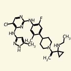 C=C(N1CCC(c2cc(F)c(Nc3ncc(Cl)c(Nc4cc(C)[nH]n4)n3)cc2C)CC1)C1(NCC)CC1